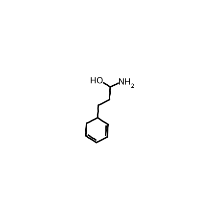 NC(O)CCC1C=CC=CC1